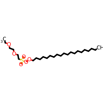 CCCCCCCCCCCCCCCCCCCCOOS(=O)(=O)CCOCCOCC